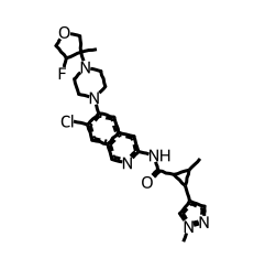 CC1C(C(=O)Nc2cc3cc(N4CCN(C5(C)COCC5F)CC4)c(Cl)cc3cn2)C1c1cnn(C)c1